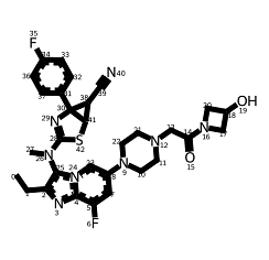 CCc1nc2c(F)cc(N3CCN(CC(=O)N4CC(O)C4)CC3)cn2c1N(C)C1=NC2(c3ccc(F)cc3)C(C#N)C2S1